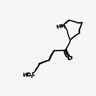 O=C(O)CCCC(=O)C1CCCN1